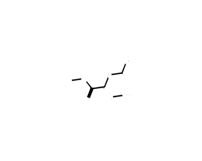 COC(=O)[C@@H](CO)NCO